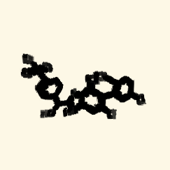 CCS(=O)(=O)c1ccc(C(O)c2nc3c(Cl)c(-c4cc(Cl)ccc4Cl)c(Cl)cc3[nH]2)cc1